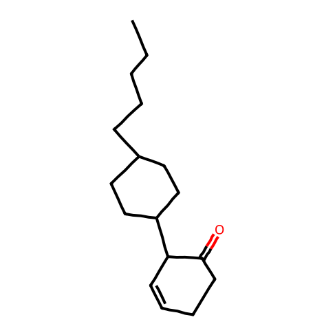 CCCCCC1CCC(C2C=CCCC2=O)CC1